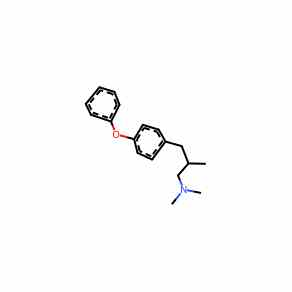 CC(Cc1ccc(Oc2ccccc2)cc1)CN(C)C